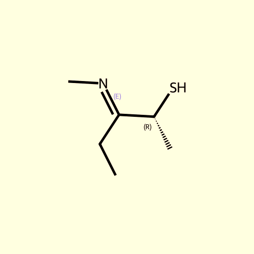 CC/C(=N\C)[C@@H](C)S